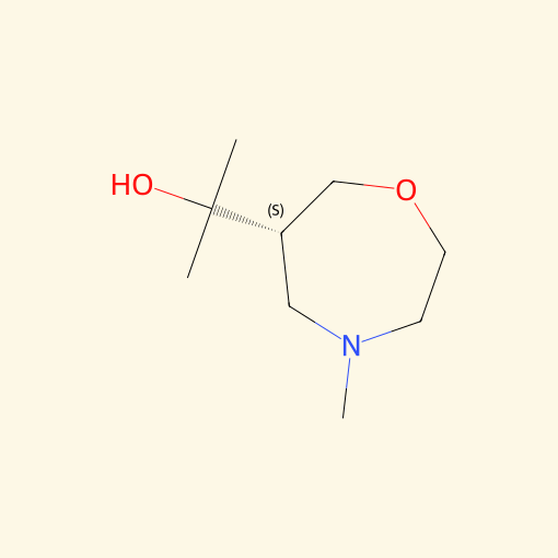 CN1CCOC[C@@H](C(C)(C)O)C1